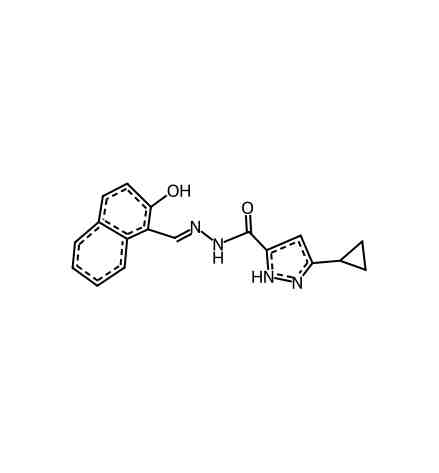 O=C(NN=Cc1c(O)ccc2ccccc12)c1cc(C2CC2)n[nH]1